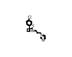 S=C(NCCCn1ccnc1)C1(c2ccc(Cl)cc2)CCC1